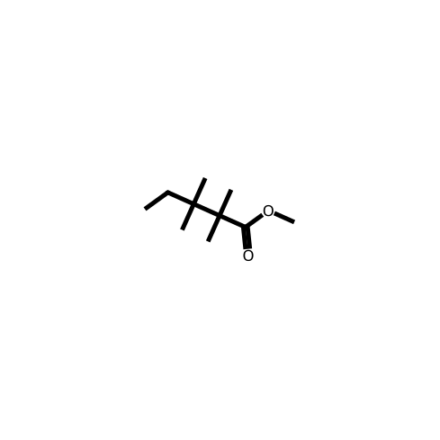 CCC(C)(C)C(C)(C)C(=O)OC